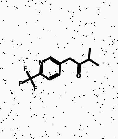 CC(C)C(=O)Cc1ccc(C(F)(F)F)nc1